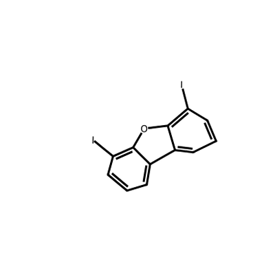 Ic1cccc2c1oc1c(I)cccc12